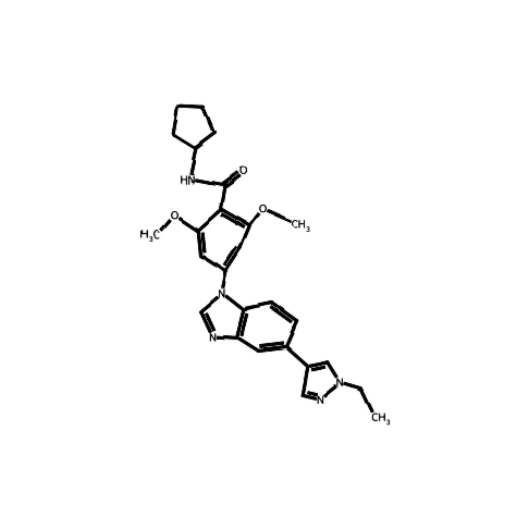 CCn1cc(-c2ccc3c(c2)ncn3-c2cc(OC)c(C(=O)NC3CCCC3)c(OC)c2)cn1